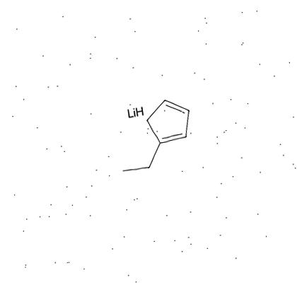 CCC1=CC=CC1.[LiH]